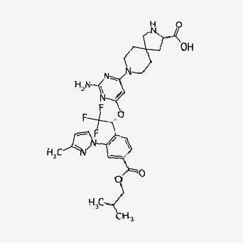 Cc1ccn(-c2cc(C(=O)OCC(C)C)ccc2[C@@H](Oc2cc(N3CCC4(CC3)CNC(C(=O)O)C4)nc(N)n2)C(F)(F)F)n1